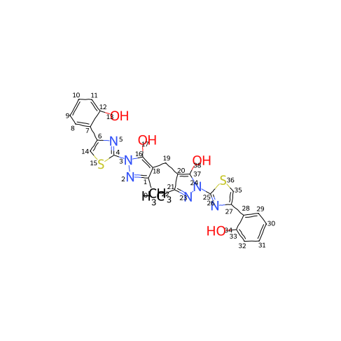 Cc1nn(-c2nc(-c3ccccc3O)cs2)c(O)c1Cc1c(C)nn(-c2nc(-c3ccccc3O)cs2)c1O